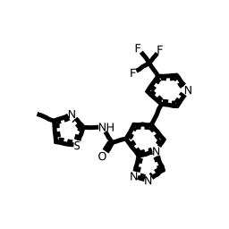 Cc1csc(NC(=O)c2cc(-c3cncc(C(F)(F)F)c3)cn3cnnc23)n1